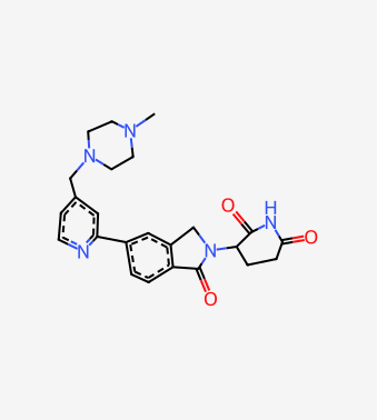 CN1CCN(Cc2ccnc(-c3ccc4c(c3)CN(C3CCC(=O)NC3=O)C4=O)c2)CC1